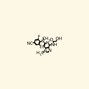 CCc1cc(C#N)cc(F)c1N(C)c1cc2c(ncn2C)c(NC(=O)CO)n1